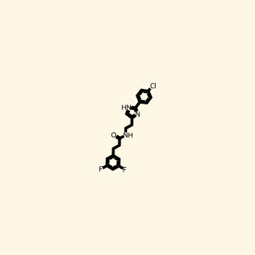 O=C(CCc1cc(F)cc(F)c1)NCCc1c[nH]c(-c2ccc(Cl)cc2)n1